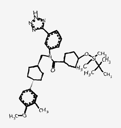 COc1ccc([C@H]2CC[C@H](CN(C(=O)C3CCC(O[Si](C)(C)C(C)(C)C)CC3)c3cccc(-c4nn[nH]n4)c3)CC2)cc1C